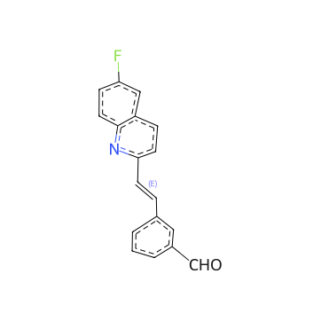 O=Cc1cccc(/C=C/c2ccc3cc(F)ccc3n2)c1